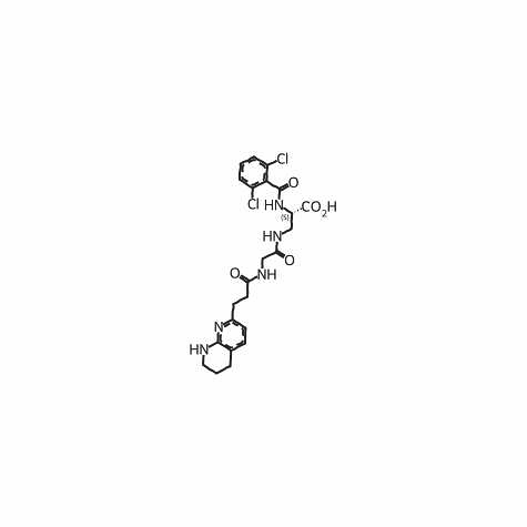 O=C(CCc1ccc2c(n1)NCCC2)NCC(=O)NC[C@H](NC(=O)c1c(Cl)cccc1Cl)C(=O)O